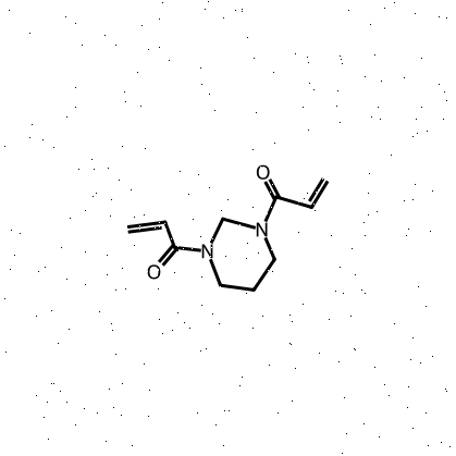 C=CC(=O)N1CCCN(C(=O)C=C)C1